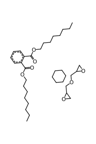 C(OCC1CO1)C1CO1.C1CCCCC1.CCCCCCCCOC(=O)c1ccccc1C(=O)OCCCCCCCC